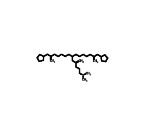 C=C(CCCCCC(CCCCCC(=C)CC1CCCC1)CC(=C)CCCN(C)C)CC1CCCC1